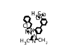 Cc1cn(-c2ccc(-c3cccc(S(C)(=O)=O)c3)cc2-n2nncc2Cc2ccccc2Cl)c(C)n1